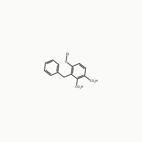 CCOc1ccc(C(=O)O)c(C(=O)O)c1Cc1ccccc1